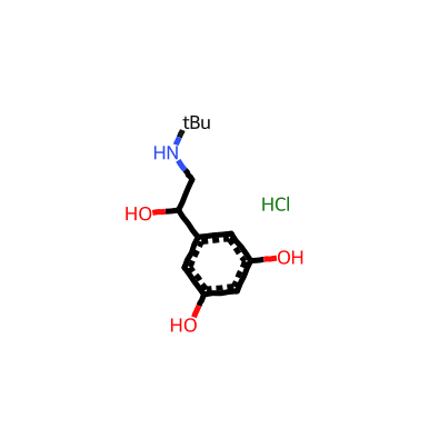 CC(C)(C)NCC(O)c1cc(O)cc(O)c1.Cl